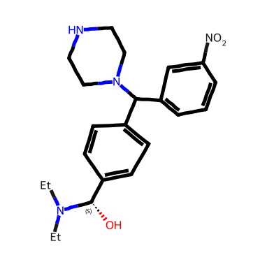 CCN(CC)[C@@H](O)c1ccc(C(c2cccc([N+](=O)[O-])c2)N2CCNCC2)cc1